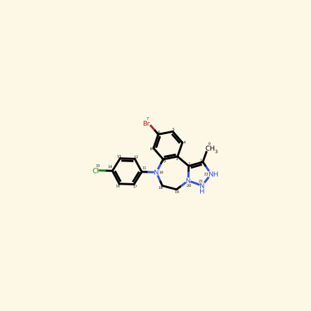 CC1=C2c3ccc(Br)cc3N(c3ccc(Cl)cc3)CCN2NN1